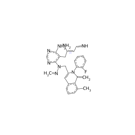 C=NN(CC1=Cc2cccc(C)c2C(=C)N1c1ccccc1F)c1ncnc(N)c1C/C(N)=C/C=N